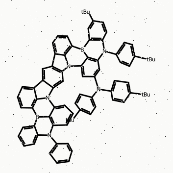 CC(C)(C)c1ccc(N(c2ccc(C(C)(C)C)cc2)c2cc3c4c(c2)-n2c5cc6c(cc5c5cccc(c52)B4c2cc(C(C)(C)C)ccc2N3c2ccc(C(C)(C)C)cc2)c2cccc3c2n6-c2cccc4c2B3c2ccccc2N4c2ccccc2)cc1